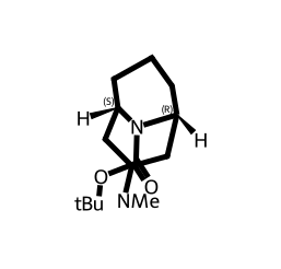 CNC1C[C@H]2CCC[C@@H](C1)N2C(=O)OC(C)(C)C